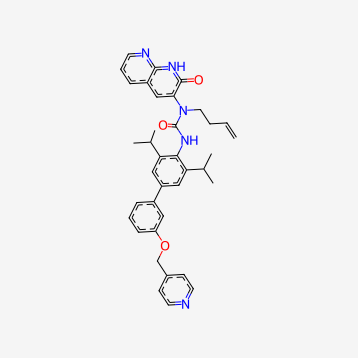 C=CCCN(C(=O)Nc1c(C(C)C)cc(-c2cccc(OCc3ccncc3)c2)cc1C(C)C)c1cc2cccnc2[nH]c1=O